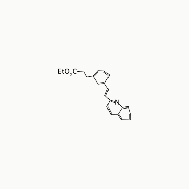 CCOC(=O)CCc1cccc(C=Cc2ccc3ccccc3n2)c1